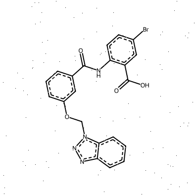 O=C(Nc1ccc(Br)cc1C(=O)O)c1cccc(OCn2nnc3ccccc32)c1